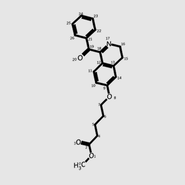 COC(=O)CCCCOc1ccc2c(c1)CCN=C2C(=O)c1ccccc1